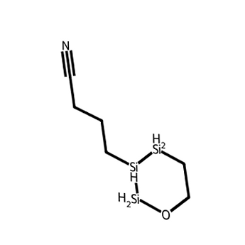 N#CCCC[SiH]1[SiH2]CCO[SiH2]1